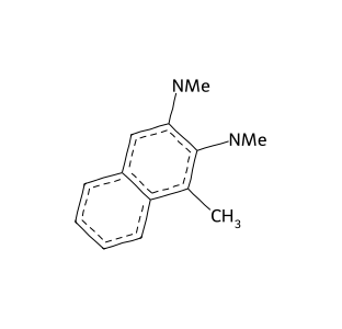 CNc1cc2ccccc2c(C)c1NC